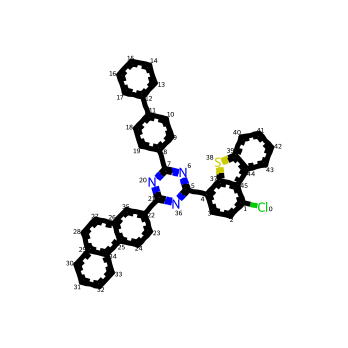 Clc1ccc(-c2nc(-c3ccc(-c4ccccc4)cc3)nc(-c3ccc4c(ccc5ccccc54)c3)n2)c2sc3ccccc3c12